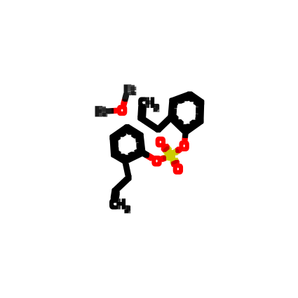 C=CCc1ccccc1OS(=O)(=O)Oc1ccccc1CC=C.CCOCC